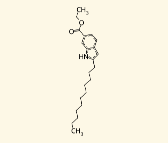 CCCCCCCCCCCc1cc2ccc(C(=O)OCC)cc2[nH]1